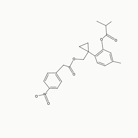 Cc1ccc(C2(COC(=O)Cc3ccc([N+](=O)[O-])cc3)CC2)c(OC(=O)C(C)C)c1